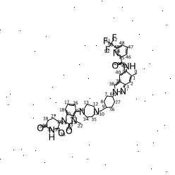 Cc1cc2nn(C3CCC(CN4CCN(c5cccc6c5n(C)c(=O)n6[C@H]5CCC(=O)NC5=O)CC4)CC3)cc2cc1NC(=O)c1cccc(C(F)(F)F)n1